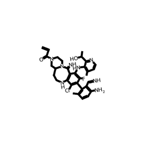 C=CC(=O)N1CCN2C(=N)c3c(Nc4c(C)ccnc4C(C)O)c(F)c(-c4c(C)ccc(N)c4C=N)c(Cl)c3NCCC2C1